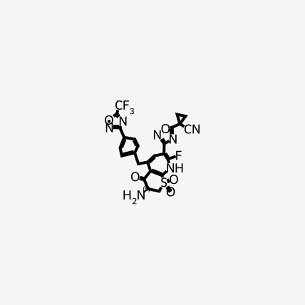 N#CC1(c2nc(C3=C(F)NC4=C(C(=O)[C@@H](N)CS4(=O)=O)C(Cc4ccc(-c5noc(C(F)(F)F)n5)cc4)=C3)no2)CC1